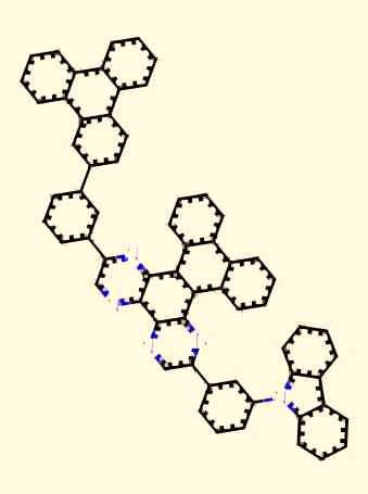 c1cc(-c2ccc3c4ccccc4c4ccccc4c3c2)cc(-c2cnc3c4ncc(-c5cccc(-n6c7ccccc7c7ccccc76)c5)nc4c4c5ccccc5c5ccccc5c4c3n2)c1